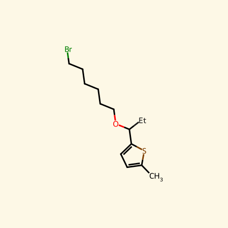 CCC(OCCCCCCBr)c1ccc(C)s1